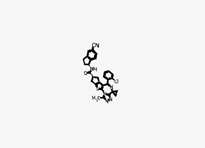 Cc1nnc2n1-c1sc3c(c1C(c1ccccc1Cl)=NC21CC1)C[C@H](C(=O)N[C@@H]1CCc2cc(C#N)ccc21)C3